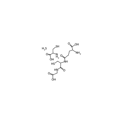 NC(CCC(=O)NC(CS)C(=O)NCC(=O)O)C(=O)O.NC(CS)C(=O)O.S